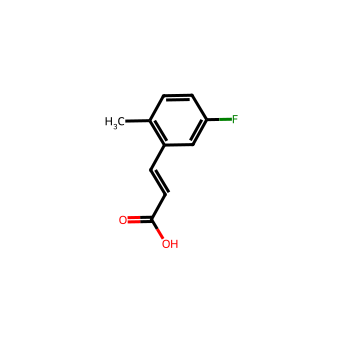 Cc1ccc(F)cc1/C=C/C(=O)O